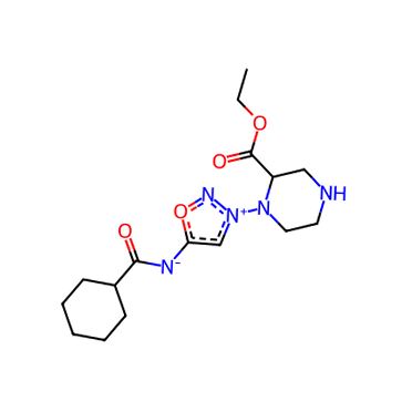 CCOC(=O)C1CNCCN1[n+]1cc([N-]C(=O)C2CCCCC2)on1